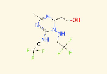 CC1=NC(CCO)N(NCC(F)(F)F)C(NCC(F)(F)F)=N1